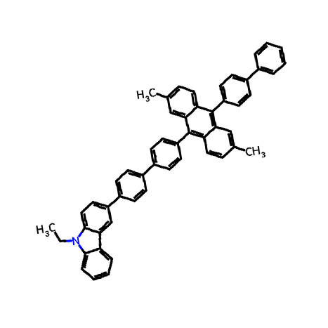 CCn1c2ccccc2c2cc(-c3ccc(-c4ccc(-c5c6ccc(C)cc6c(-c6ccc(-c7ccccc7)cc6)c6ccc(C)cc56)cc4)cc3)ccc21